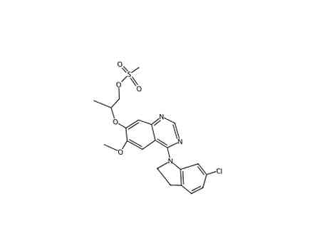 COc1cc2c(N3CCc4ccc(Cl)cc43)ncnc2cc1OC(C)COS(C)(=O)=O